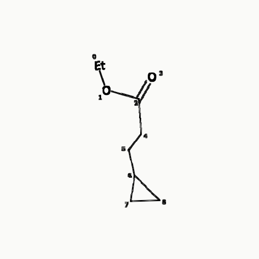 [CH2]COC(=O)CCC1CC1